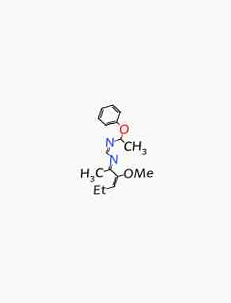 CC\C=C(OC)/C(C)=N/C=N\C(C)Oc1ccccc1